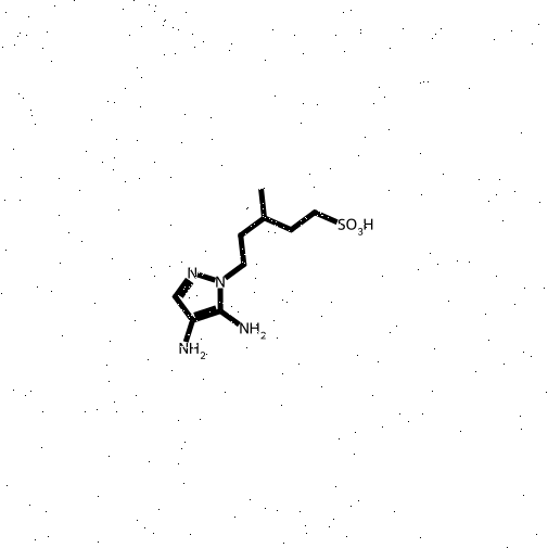 CC(CCn1ncc(N)c1N)CCS(=O)(=O)O